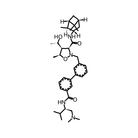 CC(C)[C@H](CN(C)C)NC(=O)c1cccc(-c2cccc(CN3O[C@@H](C)[C@@H]([C@H](C)O)[C@H]3C(=O)N[C@H]3C[C@H]4C[C@@H]([C@@H]3C)C4(C)C)c2)c1